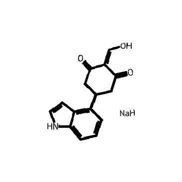 O=C1CC(c2cccc3[nH]ccc23)CC(=O)C1=CO.[NaH]